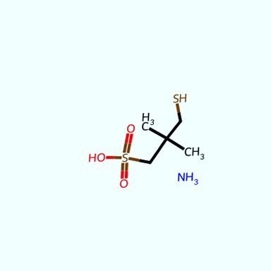 CC(C)(CS)CS(=O)(=O)O.N